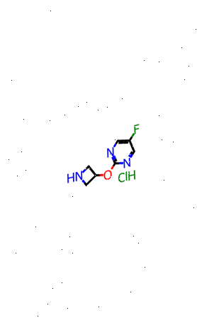 Cl.Fc1cnc(OC2CNC2)nc1